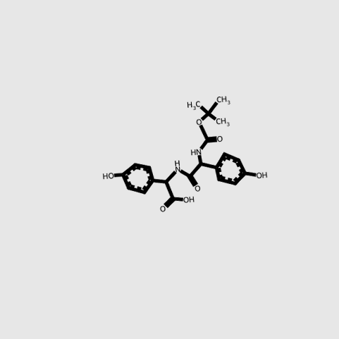 CC(C)(C)OC(=O)NC(C(=O)NC(C(=O)O)c1ccc(O)cc1)c1ccc(O)cc1